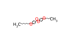 C=CCCCCCCOc1ccc(C(=O)Oc2ccc(OCCCCC)cc2)cc1